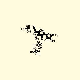 CC1OC(n2nnc3c(C#N)nn(O)c3c2=O)C(O)C1O.O=P(O)(O)O.O=P(O)(O)O.O=P(O)(O)O